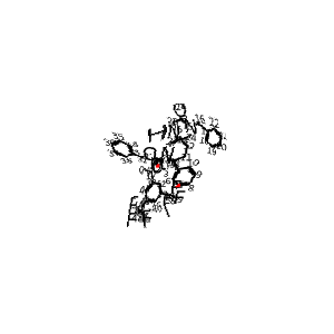 C[C@@H](OC[C@@]1(c2ccccc2)CCC2(CN(Cc3ccccc3)C(=O)CN2)CN1C(=O)OCc1ccccc1)c1cc(C(F)(F)F)cc(C(F)(F)F)c1